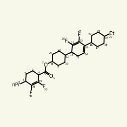 CCCC1CCC(C(=O)OC2CCC(C3CC=C(C4CCC(CC)CC4)C(F)=C3F)CC2)C(F)=C1F